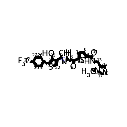 C/C(=N\NC(=O)c1ccc(C(=O)NCc2cncn2C)s1)c1csc(-c2ccc(C(F)(F)F)cc2)c1O